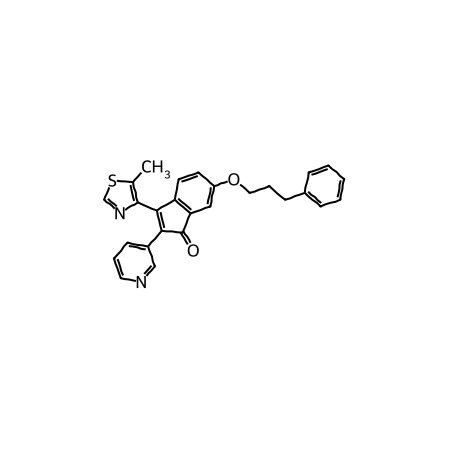 Cc1scnc1C1=C(c2cccnc2)C(=O)c2cc(OCCCc3ccccc3)ccc21